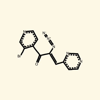 [N-]=[N+]=NC(=Cc1ccncn1)C(=O)c1ccncc1Br